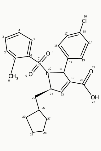 Cc1ccccc1S(=O)(=O)N1C(c2ccc(Cl)cc2)C(C(=O)O)=C[C@H]1CC1CCCC1